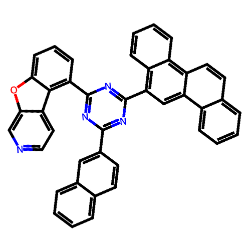 c1ccc2cc(-c3nc(-c4cc5c6ccccc6ccc5c5ccccc45)nc(-c4cccc5oc6cnccc6c45)n3)ccc2c1